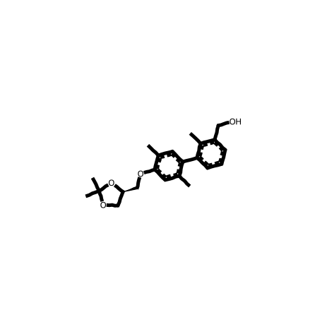 Cc1cc(-c2cccc(CO)c2C)c(C)cc1OC[C@H]1COC(C)(C)O1